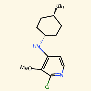 COc1c(N[C@H]2CC[C@H](C(C)(C)C)CC2)ccnc1Cl